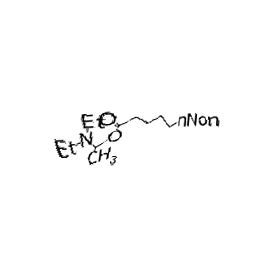 CCCCCCCCCCCCCC(=O)OC(C)N(CC)CC